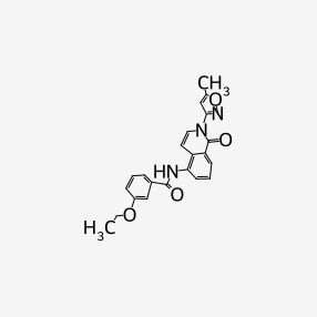 CCOc1cccc(C(=O)Nc2cccc3c(=O)n(-c4cc(C)on4)ccc23)c1